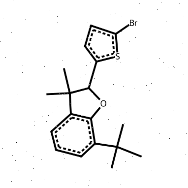 CC(C)(C)c1cccc2c1OC(c1ccc(Br)s1)C2(C)C